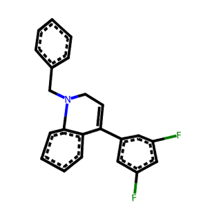 Fc1cc(F)cc(C2=CCN(Cc3ccccc3)c3ccccc32)c1